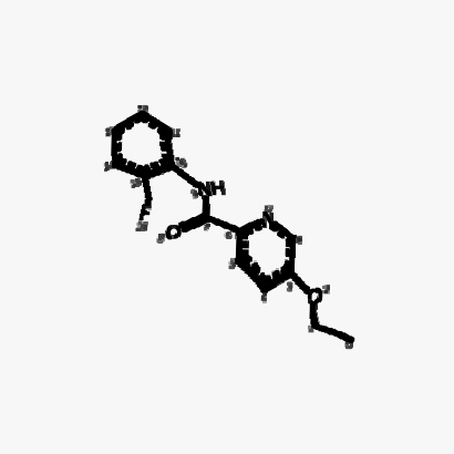 CCOc1ccc(C(=O)Nc2ccccc2F)nc1